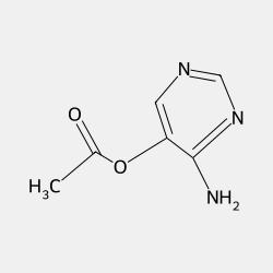 CC(=O)Oc1cncnc1N